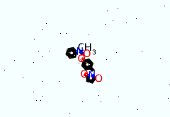 CN(C(=O)Oc1ccc(CN2C(=O)CCC2=O)cc1)c1ccccc1